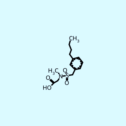 CCCCc1cccc(CS(=O)(=O)N(C)CC(=O)O)c1